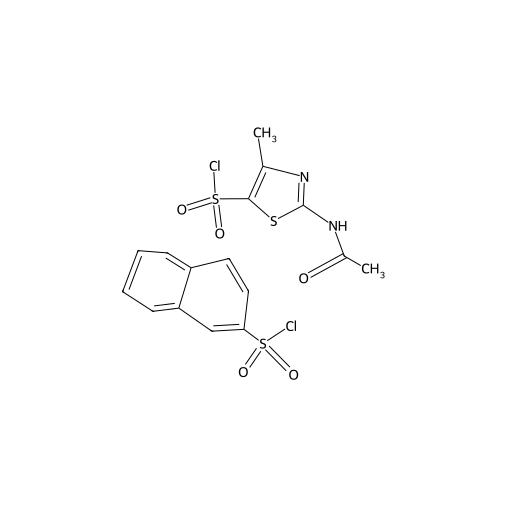 CC(=O)Nc1nc(C)c(S(=O)(=O)Cl)s1.O=S(=O)(Cl)c1ccc2ccccc2c1